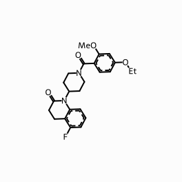 CCOc1ccc(C(=O)N2CCC(N3C(=O)CCc4c(F)cccc43)CC2)c(OC)c1